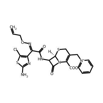 C=CCO/N=C(/C(=O)NC1C(=O)N2C(C(=O)[O-])=C(C[n+]3ccccc3)CS[C@H]12)c1nc(N)sc1Cl